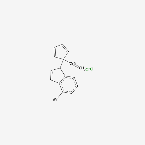 [CH2]=[Zr+2][C]1(C2C=Cc3c(C(C)C)cccc32)C=CC=C1.[Cl-].[Cl-]